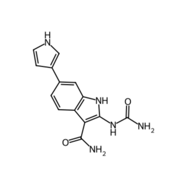 NC(=O)Nc1[nH]c2cc(-c3cc[nH]c3)ccc2c1C(N)=O